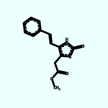 COC(=O)Cc1sc(=O)[nH]c1/C=C/c1ccccc1